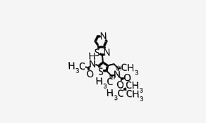 CC(=O)Nc1sc2c(c1-c1nc3cnccc3s1)C[C@@H](C)N(C(=O)OC(C)(C)C)[C@@H]2C